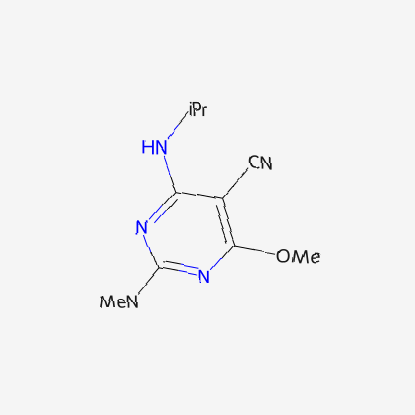 CNc1nc(NC(C)C)c(C#N)c(OC)n1